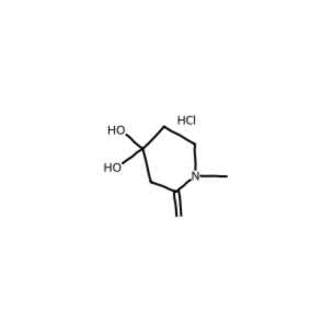 C=C1CC(O)(O)CCN1C.Cl